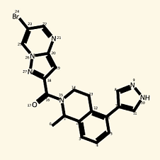 CC1c2cccc(-c3cn[nH]c3)c2CCN1C(=O)c1cc2ncc(Br)cn2n1